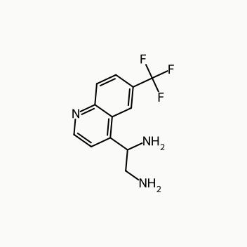 NCC(N)c1ccnc2ccc(C(F)(F)F)cc12